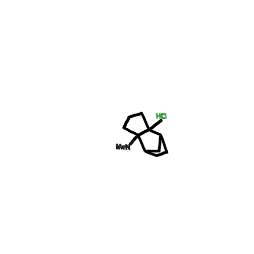 CNC12CCCC1(C)C1CCC2C1.Cl